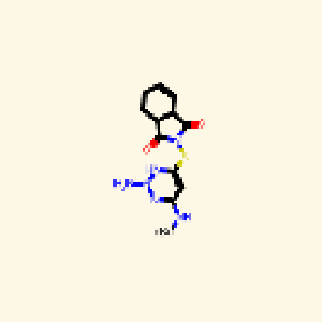 CCCCNC1=NN(N)NC(SN2C(=O)C3C=CCCC3C2=O)=C1